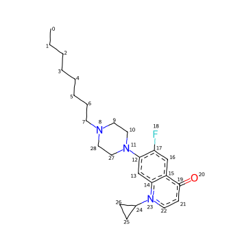 CCCCCCCCN1CCN(c2cc3c(cc2F)c(=O)ccn3C2CC2)CC1